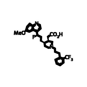 COc1ccc2nccc([C@H](F)CC[C@@H]3CCN(CCCc4ccccc4C(F)(F)F)C[C@@H]3CC(=O)O)c2c1